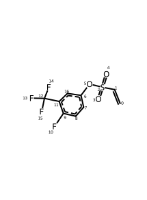 C=CS(=O)(=O)Oc1ccc(F)c(C(F)(F)F)c1